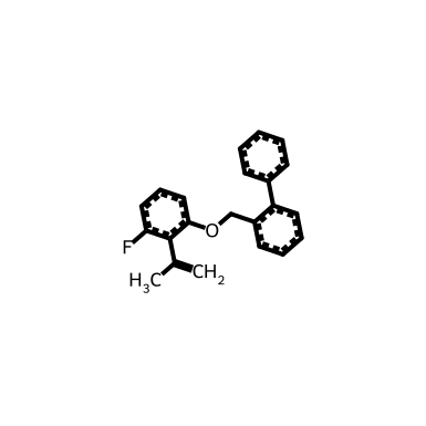 C=C(C)c1c(F)cccc1OCc1ccccc1-c1ccccc1